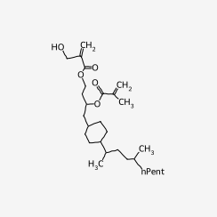 C=C(C)C(=O)OC(CCOC(=O)C(=C)CO)CC1CCC(C(C)CCC(C)CCCCC)CC1